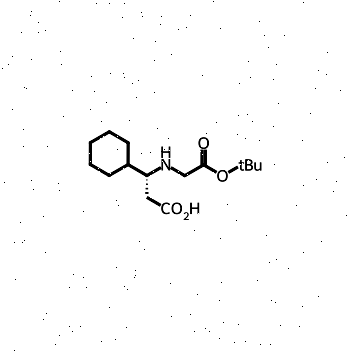 CC(C)(C)OC(=O)CN[C@H](CC(=O)O)C1CCCCC1